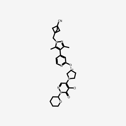 Cc1nn(CC23CC(C#N)(C2)C3)c(C)c1-c1ccnc(O[C@@H]2CCN(c3cnn(C4CCCCO4)c(=O)c3Cl)C2)c1